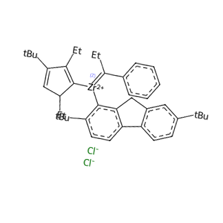 CCC1=[C](/[Zr+2](=[C](\CC)c2ccccc2)[c]2c(C(C)(C)C)ccc3c2Cc2cc(C(C)(C)C)ccc2-3)C(CC)C=C1C(C)(C)C.[Cl-].[Cl-]